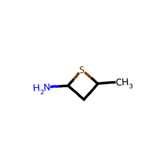 CC1CC(N)S1